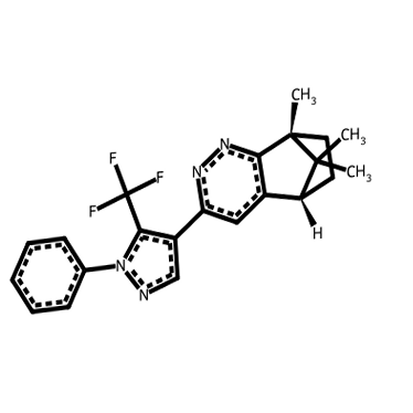 CC1(C)[C@@H]2CC[C@@]1(C)c1nnc(-c3cnn(-c4ccccc4)c3C(F)(F)F)cc12